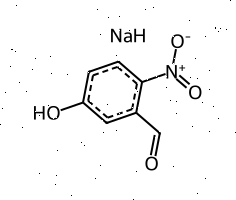 O=Cc1cc(O)ccc1[N+](=O)[O-].[NaH]